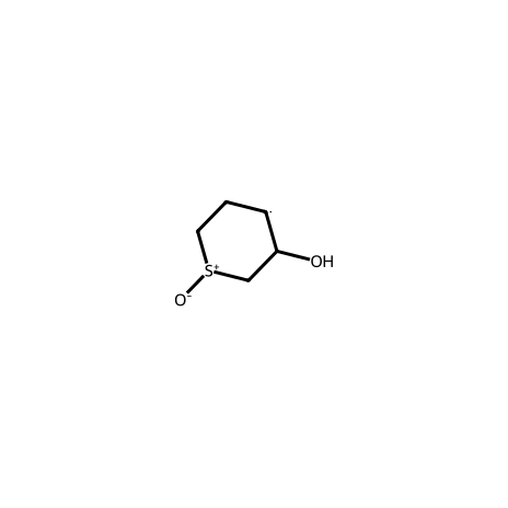 [O-][S+]1CC[CH]C(O)C1